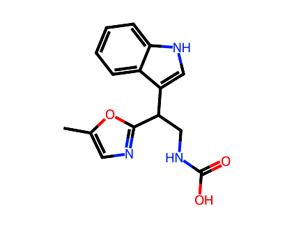 Cc1cnc(C(CNC(=O)O)c2c[nH]c3ccccc23)o1